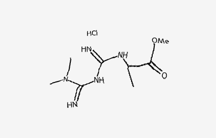 COC(=O)C(C)NC(=N)NC(=N)N(C)C.Cl